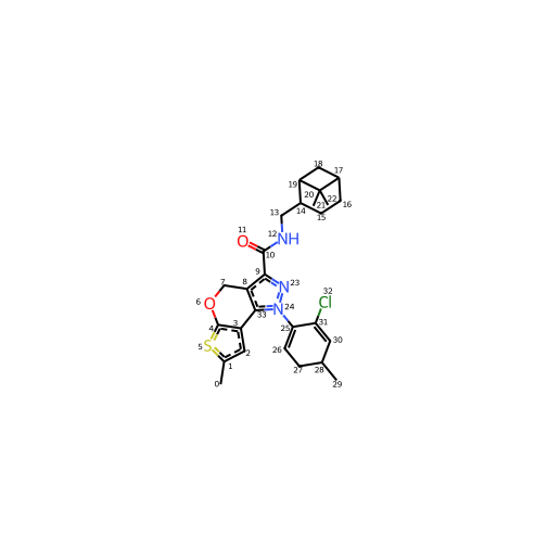 Cc1cc2c(s1)OCc1c(C(=O)NCC3CCC4CC3C4(C)C)nn(C3=CCC(C)C=C3Cl)c1-2